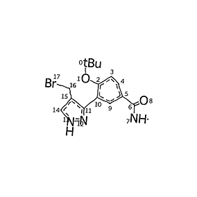 CC(C)(C)Oc1ccc(C([NH])=O)cc1-c1n[nH]cc1CBr